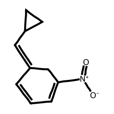 O=[N+]([O-])C1=CC=CC(=CC2CC2)C1